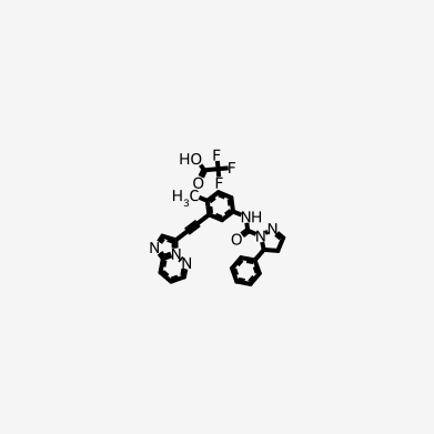 Cc1ccc(NC(=O)N2N=CCC2c2ccccc2)cc1C#Cc1cnc2cccnn12.O=C(O)C(F)(F)F